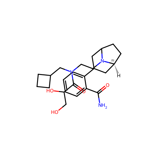 NC(=O)c1ccccc1C1CC2CC[C@@H](C1)N2CCN(CC1CCC1)C(=O)C(O)CO